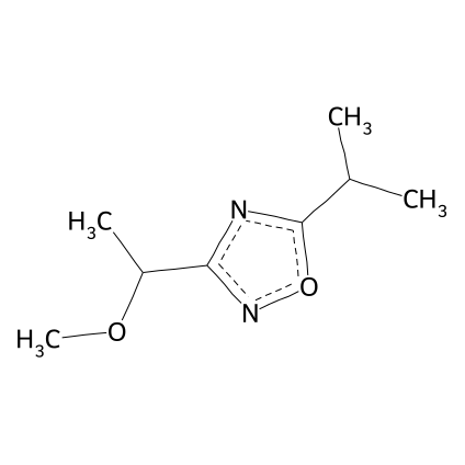 COC(C)c1noc(C(C)C)n1